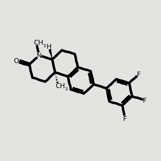 CN1C(=O)CC[C@]2(C)c3ccc(-c4cc(F)c(F)c(F)c4)cc3CC[C@@H]12